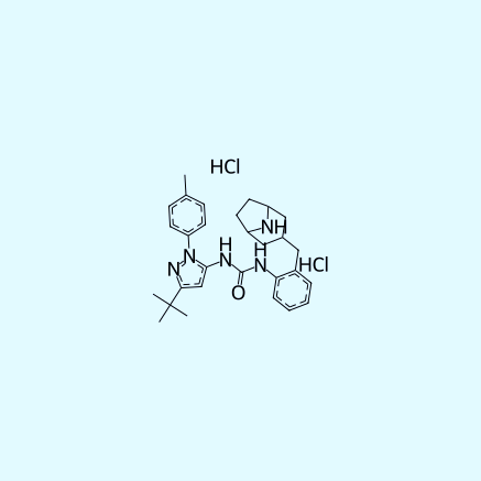 Cc1ccc(-n2nc(C(C)(C)C)cc2NC(=O)Nc2ccccc2CC2CC3CCC(C2)N3)cc1.Cl.Cl